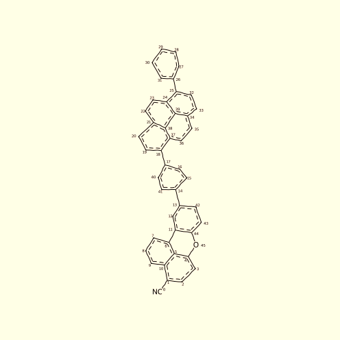 N#Cc1ccc2c3c(cccc13)-c1cc(-c3ccc(-c4ccc5ccc6c(-c7ccccc7)ccc7ccc4c5c76)cc3)ccc1O2